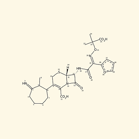 CC1C(=N)CCCCC1C1=C(C(=O)O)N2C(=O)[C@@H](NC(=O)C(=NOC(C)(C)C(=O)O)c3ccco3)[C@H]2SC1